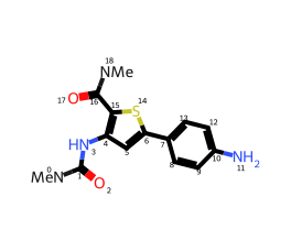 CNC(=O)Nc1cc(-c2ccc(N)cc2)sc1C(=O)NC